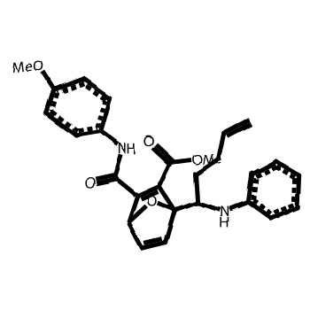 C=CCCC(Nc1ccccc1)C12C=CC(O1)C(C(=O)Nc1ccc(OC)cc1)=C2C(=O)OC